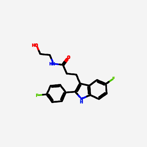 O=C(CCc1c(-c2ccc(F)cc2)[nH]c2ccc(F)cc12)NCCO